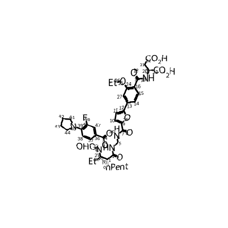 CCCCC[C@@H](C(=O)NCNC(=O)c1ccc(-c2ccc(C(=O)N[C@@H](CC(=O)O)C(=O)O)c(OCC)c2)o1)[C@@H](CC)N(C=O)OC(=O)c1ccc(N2CCCC2)c(F)c1